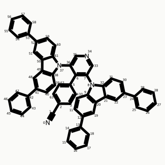 N#Cc1ccc(-c2c(-n3c4ccc(-c5ccccc5)cc4c4cc(-c5ccccc5)ccc43)cncc2-n2c3ccc(-c4ccccc4)cc3c3cc(-c4ccccc4)ccc32)cc1